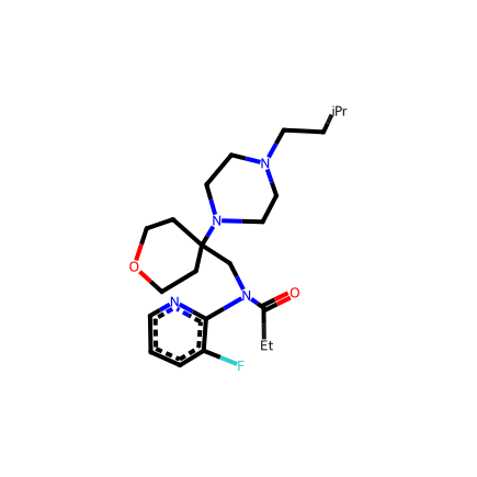 CCC(=O)N(CC1(N2CCN(CCC(C)C)CC2)CCOCC1)c1ncccc1F